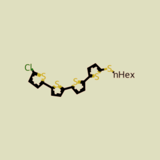 CCCCCCSc1ccc(-c2ccc(-c3ccc(-c4ccc(Cl)s4)s3)s2)s1